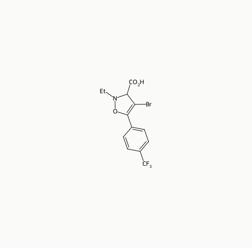 CCN1OC(c2ccc(C(F)(F)F)cc2)=C(Br)C1C(=O)O